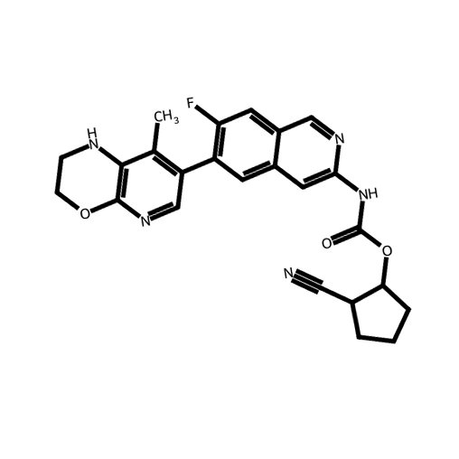 Cc1c(-c2cc3cc(NC(=O)OC4CCCC4C#N)ncc3cc2F)cnc2c1NCCO2